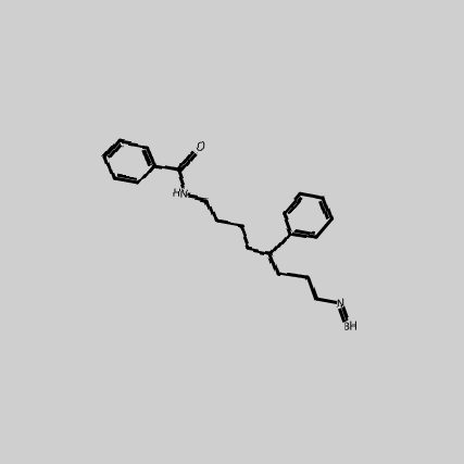 B=NCCCC(CCCCNC(=O)c1ccccc1)c1ccccc1